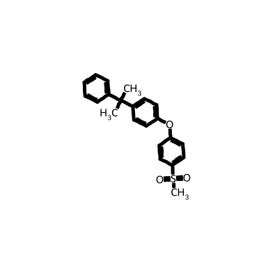 CC(C)(c1ccccc1)c1ccc(Oc2ccc(S(C)(=O)=O)cc2)cc1